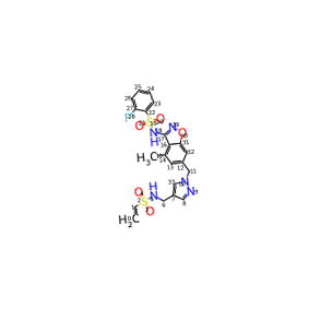 C=CS(=O)(=O)NCc1cnn(Cc2cc(C)c3c(NS(=O)(=O)c4ccccc4F)noc3c2)c1